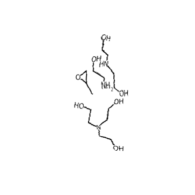 CC1CO1.NCCO.OCCN(CCO)CCO.OCCNCCO